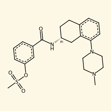 CN1CCN(c2cccc3c2C[C@H](NC(=O)c2cccc(OS(C)(=O)=O)c2)CC3)CC1